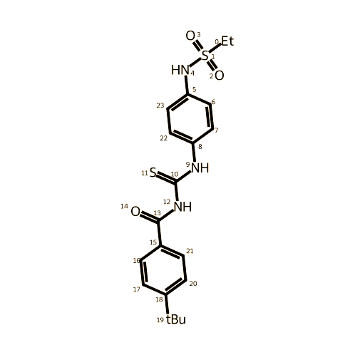 CCS(=O)(=O)Nc1ccc(NC(=S)NC(=O)c2ccc(C(C)(C)C)cc2)cc1